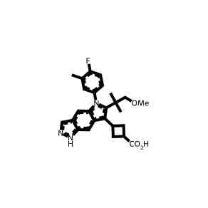 COCC(C)(C)c1c(C2CC(C(=O)O)C2)c2cc3[nH]ncc3cc2n1-c1ccc(F)c(C)c1